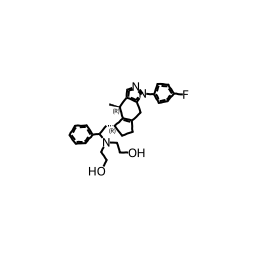 C[C@@H]1C2=C(CC[C@@H]2CC(c2ccccc2)N(CCO)CCO)Cc2c1cnn2-c1ccc(F)cc1